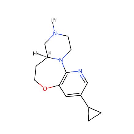 CC(C)N1CCN2c3ncc(C4CC4)cc3OCC[C@H]2C1